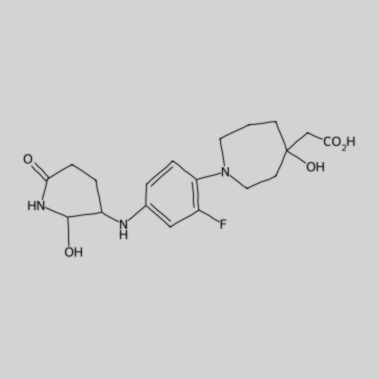 O=C(O)CC1(O)CCCN(c2ccc(NC3CCC(=O)NC3O)cc2F)CC1